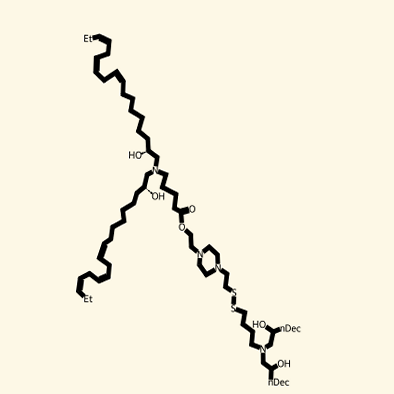 CC/C=C\C/C=C\C/C=C\CCCCCC[C@@H](O)CN(CCCCC(=O)OCCN1CCN(CCSSCCCCN(CC(O)CCCCCCCCCC)CC(O)CCCCCCCCCC)CC1)C[C@H](O)CCCCCC/C=C\C/C=C\C/C=C\CC